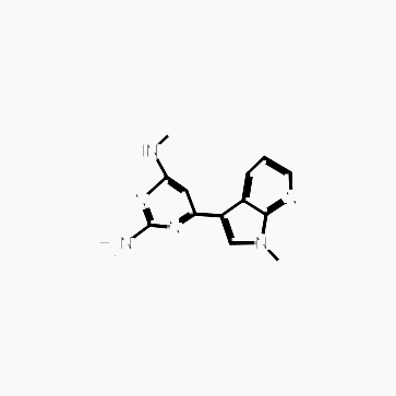 CNc1cc(-c2cn(C)c3ncccc23)nc(N)n1